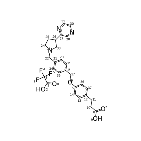 O=C(O)C(F)(F)F.O=C(O)CCc1ccc(OCc2ccc(CN3CCC(c4cnccn4)C3)cc2)cc1